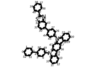 c1ccc(-c2ccc(-n3c4ccccc4c4cc5c6ccccc6n(-c6ccc(-c7ccc8sc(-c9ccccc9)nc8c7)cc6)c5cc43)cc2)cc1